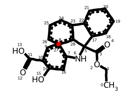 CCOC(=O)C1(Nc2ccc(C(=O)O)c(O)c2)c2ccccc2-c2ccccc21